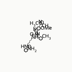 COc1cc2c(cc1-c1c(C)noc1C)ncc1c(C(=O)NCCCCCC(=O)Nc3ccccc3N)n(Cc3cccc(C)c3)nc12